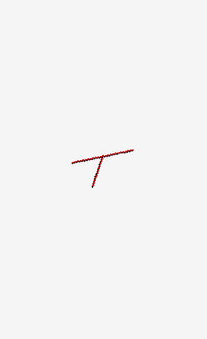 C=CCCCCCCCCCCCCCCCCCCCCCCCC(=CCCCCCCCCCCCCCCCCCCCCCCCC)CCCCCCCCCCCCCCCCCCCCCCC=C